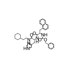 O=C(NC(Cc1cccc2ccccc12)C(=O)N[C@@H](Cc1c[nH]cn1)C(=O)N[CH]CC1CCCCC1)OCc1ccccc1